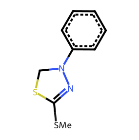 CSC1=NN(c2ccccc2)CS1